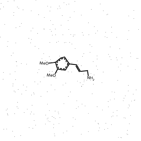 COc1ccc(C=CCN)cc1OC